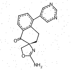 NC1=N[C@]2(CCc3c(cccc3-c3cncnc3)C2=O)CO1